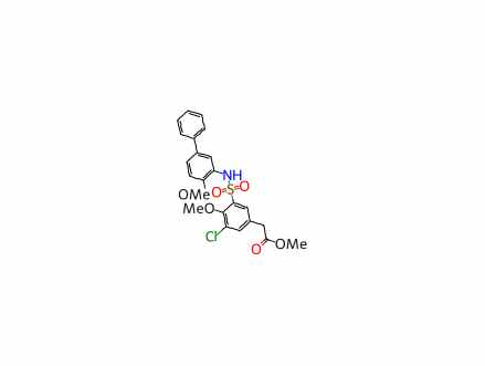 COC(=O)Cc1cc(Cl)c(OC)c(S(=O)(=O)Nc2cc(-c3ccccc3)ccc2OC)c1